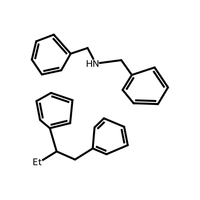 CCC(Cc1ccccc1)c1ccccc1.c1ccc(CNCc2ccccc2)cc1